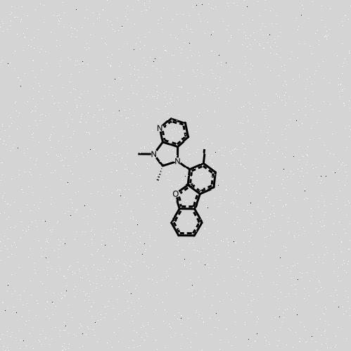 Cc1ccc2c(oc3ccccc32)c1N1c2cccnc2N(C)[C@H]1C